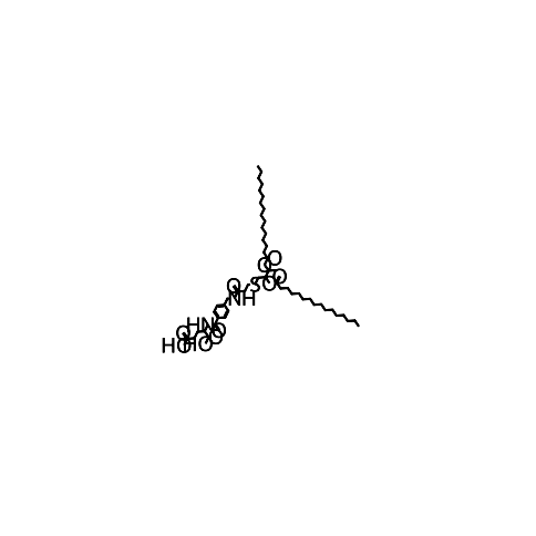 CCCCCCCCCCCCCCCC(=O)OC(C)C(CSCCC(=O)NCc1ccc(C(=O)NC(CCC(=O)O)C(=O)O)cc1)OC(=O)CCCCCCCCCCCCCCC